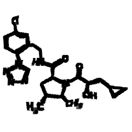 CC1[C@@H](C)C[C@@H](C(=O)NCc2cc(Cl)ccc2-n2cnnn2)N1C(=O)[C@H](O)CC1CC1